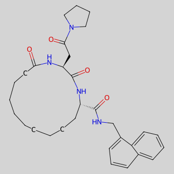 O=C1CCCCCCCCC[C@@H](C(=O)NCc2cccc3ccccc23)NC(=O)[C@H](CC(=O)N2CCCC2)N1